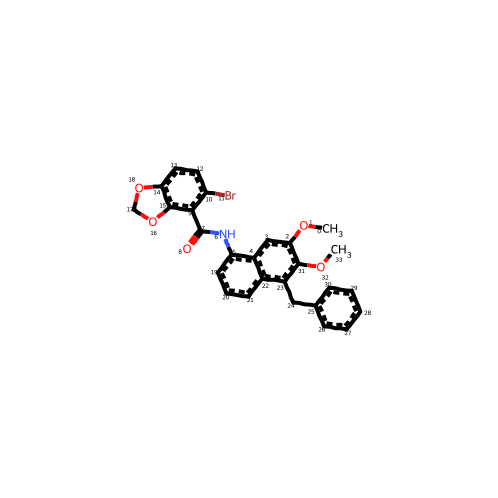 COc1cc2c(NC(=O)c3c(Br)ccc4c3OCO4)cccc2c(Cc2ccccc2)c1OC